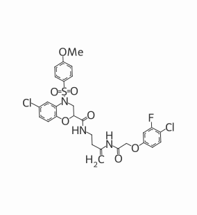 C=C(CCNC(=O)C1CN(S(=O)(=O)c2ccc(OC)cc2)c2cc(Cl)ccc2O1)NC(=O)COc1ccc(Cl)c(F)c1